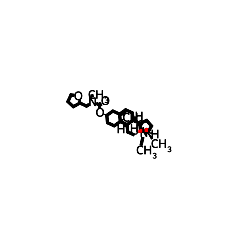 C[C@H]1[C@H]2CC[C@H]3[C@@H]4CC=C5C[C@@H](OC(=O)N(C)CC6CCCO6)CC[C@]5(C)[C@H]4CC[C@]23CN1C